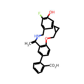 C=C(NCc1ccc(O)c(F)c1)c1cc(-c2ccccc2C(=O)O)ccc1OCC1CC1